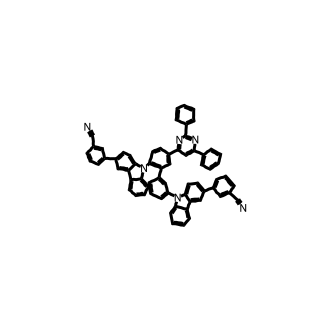 N#Cc1cccc(-c2ccc3c(c2)c2ccccc2n3-c2cccc(-c3cc(-c4cc(-c5ccccc5)nc(-c5ccccc5)n4)ccc3-n3c4ccccc4c4cc(-c5cccc(C#N)c5)ccc43)c2)c1